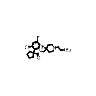 CC(C)(C)CCN1CCC(F)(CNC(=O)C2(c3ccc(F)cc3Cl)CCCC2)CC1